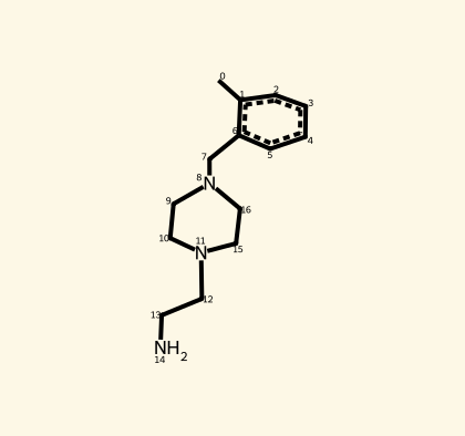 Cc1ccccc1CN1CCN(CCN)CC1